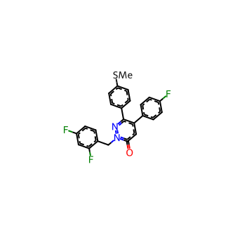 CSc1ccc(-c2nn(Cc3ccc(F)cc3F)c(=O)cc2-c2ccc(F)cc2)cc1